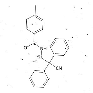 Cc1ccc([S+]([O-])N[C@@H](C)C(C#N)(c2ccccc2)c2ccccc2)cc1